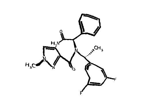 C[C@H](c1cc(F)cc(F)c1)N(C(=O)c1ccn(C)n1)[C@@H](C(N)=O)c1ccccc1